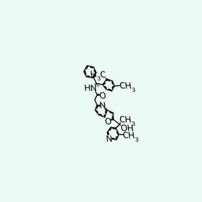 Cc1ccc([C@@H](NC(=O)Cc2ccc3oc(C(C)(O)c4ccncc4C)cc3n2)c2ccccc2)c(C)c1